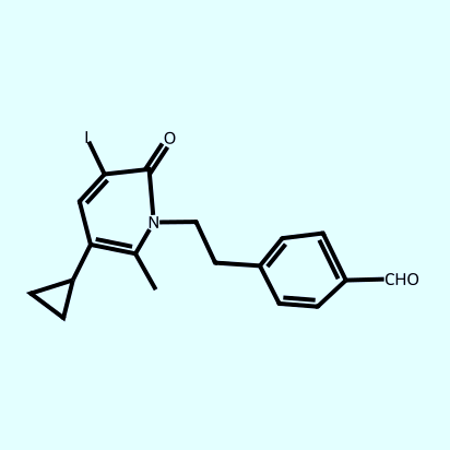 Cc1c(C2CC2)cc(I)c(=O)n1CCc1ccc(C=O)cc1